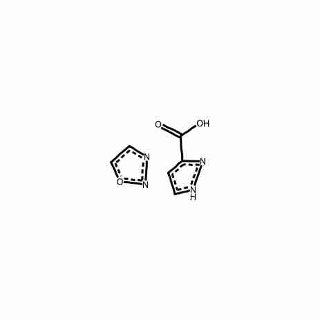 O=C(O)c1cc[nH]n1.c1conn1